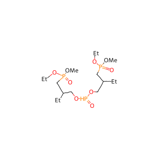 CCOP(=O)(CC(CC)CO[PH](=O)OCC(CC)CP(=O)(OC)OCC)OC